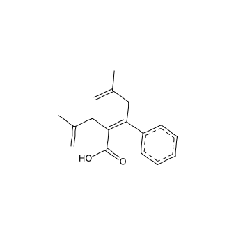 C=C(C)CC(C(=O)O)=C(CC(=C)C)c1ccccc1